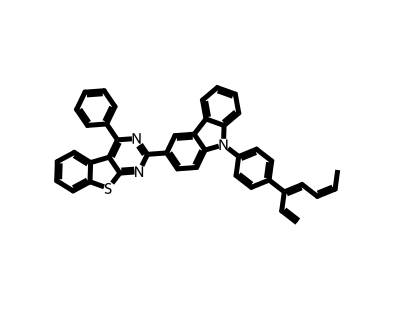 C=C/C(=C\C=C/C)c1ccc(-n2c3ccccc3c3cc(-c4nc(-c5ccccc5)c5c(n4)sc4ccccc45)ccc32)cc1